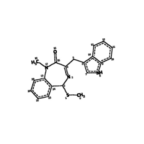 CSC1N=C(Cc2c[nH]c3ccccc23)C(=O)N(C)c2ccccc21